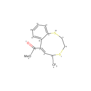 COC(=O)C1=CC(C(F)(F)F)SCCSc2ccccc21